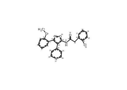 COc1ccccc1-c1noc(NC(=O)Cc2ccccc2Cl)c1-c1ccncc1